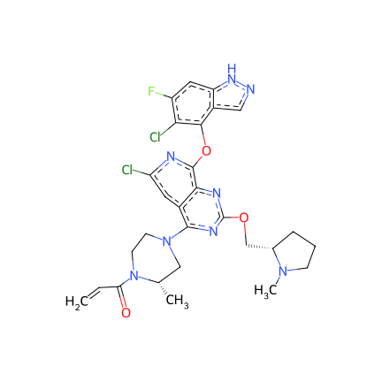 C=CC(=O)N1CCN(c2nc(OC[C@@H]3CCCN3C)nc3c(Oc4c(Cl)c(F)cc5[nH]ncc45)nc(Cl)cc23)C[C@@H]1C